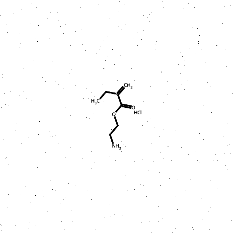 C=C(CC)C(=O)OCCN.Cl